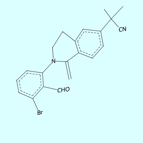 C=C1c2ccc(C(C)(C)C#N)cc2CCN1c1cccc(Br)c1C=O